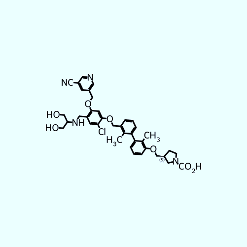 Cc1c(COc2cc(OCc3cncc(C#N)c3)c(CNC(CO)CO)cc2Cl)cccc1-c1cccc(OC[C@H]2CCN(C(=O)O)C2)c1C